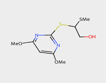 COc1cc(OC)nc(SC(CO)SC)n1